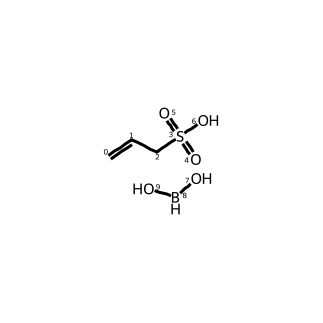 C=CCS(=O)(=O)O.OBO